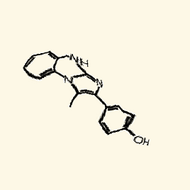 Cc1c(-c2ccc(O)cc2)nc2[nH]c3ccccc3n12